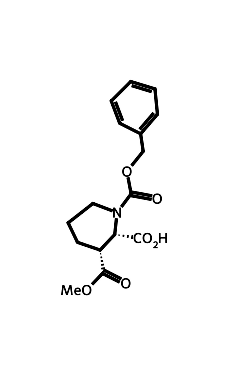 COC(=O)[C@@H]1CCCN(C(=O)OCc2ccccc2)[C@@H]1C(=O)O